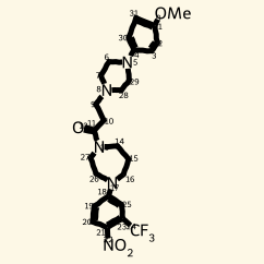 COc1ccc(N2CCN(CCC(=O)N3CCCN(c4ccc([N+](=O)[O-])c(C(F)(F)F)c4)CC3)CC2)cc1